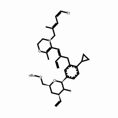 C=C/C(=C\C1=C(C)OCCN1C/C(C)=C/C=C\CC)Cc1cc([C@@H]2O[C@H](COCCCC)C[C@H](C=C)C2I)ccc1C1CC1